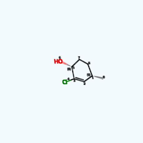 C[C@@H]1C=C(Cl)[C@H](O)CC1